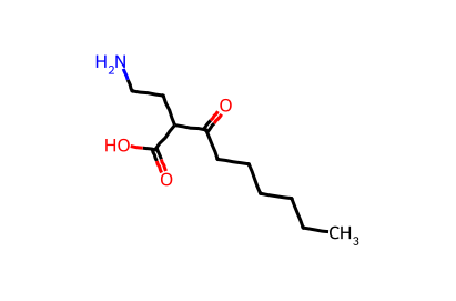 CCCCCCC(=O)C(CCN)C(=O)O